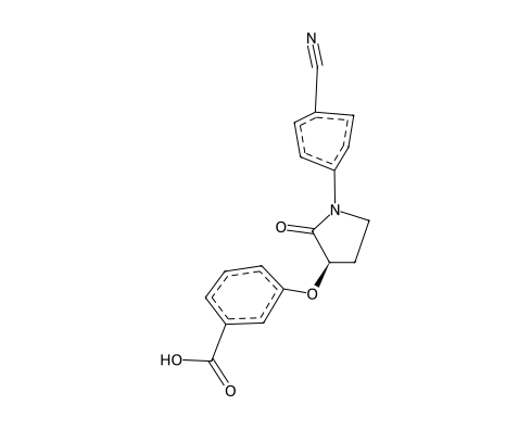 N#Cc1ccc(N2CC[C@@H](Oc3cccc(C(=O)O)c3)C2=O)cc1